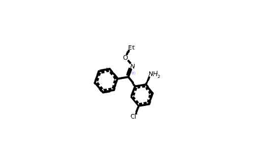 CCO/N=C(\c1ccccc1)c1cc(Cl)ccc1N